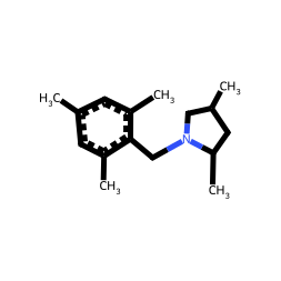 Cc1cc(C)c(CN2CC(C)CC2C)c(C)c1